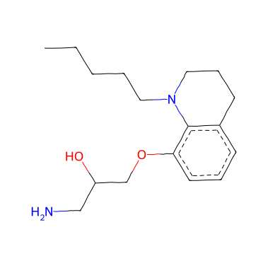 CCCCCN1CCCc2cccc(OCC(O)CN)c21